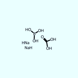 O=C(O)O.OB(O)O.[NaH].[NaH]